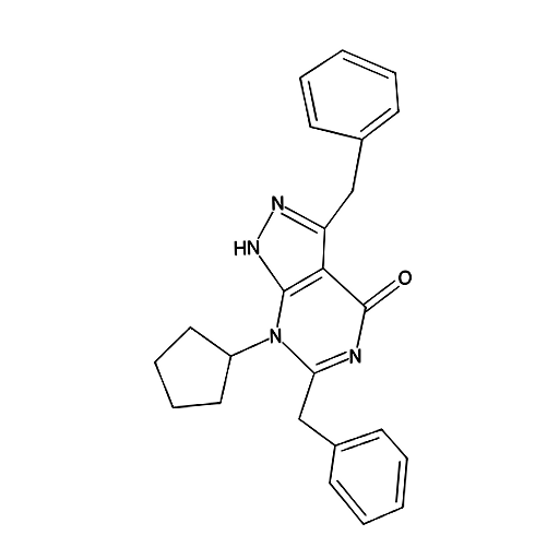 O=c1nc(Cc2ccccc2)n(C2CCCC2)c2[nH]nc(Cc3ccccc3)c12